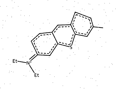 CC[N+](CC)=c1ccc2cc3ccc(C)cc3sc-2c1